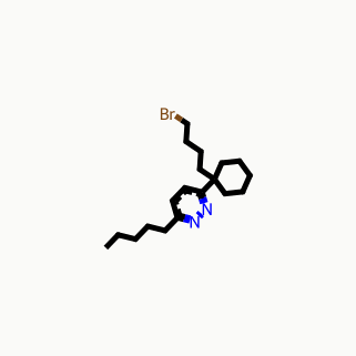 CCCCCc1ccc(C2(CCCCBr)CCCCC2)nn1